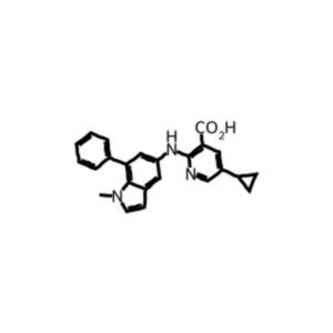 Cn1ccc2cc(Nc3ncc(C4CC4)cc3C(=O)O)cc(-c3ccccc3)c21